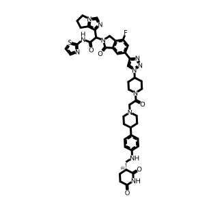 O=C1CC[C@H](CNc2ccc(C3CCN(CC(=O)N4CCC(n5cc(-c6cc(F)c7c(c6)C(=O)N(C(C(=O)Nc6nccs6)c6ncn8c6CCC8)C7)nn5)CC4)CC3)cc2)C(=O)N1